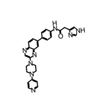 O=C(Cc1c[nH]cn1)Nc1ccc(-c2ccc3ncc(N4CCN(c5ccncc5)CC4)nc3c2)cc1